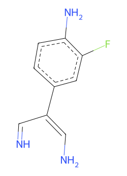 N=C/C(=C\N)c1ccc(N)c(F)c1